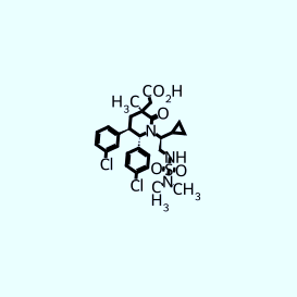 CN(C)S(=O)(=O)NC[C@H](C1CC1)N1C(=O)[C@](C)(CC(=O)O)C[C@H](c2cccc(Cl)c2)[C@H]1c1ccc(Cl)cc1